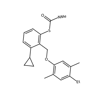 CCc1cc(C)c(OCc2c(SC(=O)NC)cccc2C2CC2)cc1C